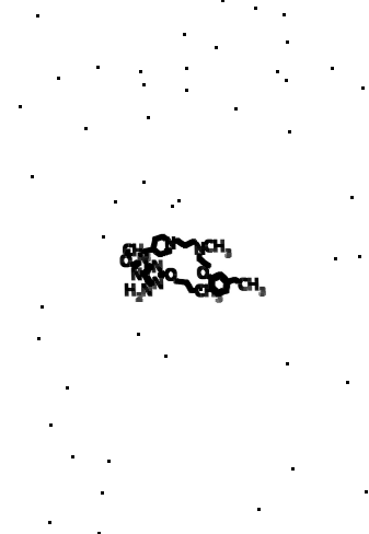 CCCCOc1nc(N)c2nc(OC)n(CC3CCN(CCCN(C)CCOc4cccc(CC)c4)CC3)c2n1